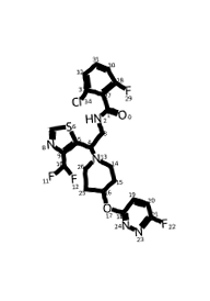 O=C(NCC(c1scnc1C(F)F)N1CCC(Oc2ccc(F)nn2)CC1)c1c(F)cccc1Cl